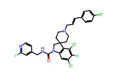 O=C(NCc1ccnc(F)c1)N1CC2(CCN(CC=Cc3ccc(Cl)cc3)CC2)c2c1cc(Cl)c(F)c2Cl